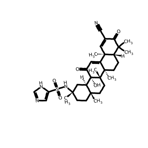 CC1(C)C(=O)C(C#N)=C[C@]2(C)C3=CC(=O)[C@]4(O)[C@@H]5C[C@@](C)(NS(=O)(=O)c6cnc[nH]6)CC[C@@]5(C)CC[C@@]4(C)[C@]3(C)CC[C@@H]12